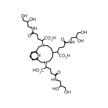 O=C(CCC(C(=O)O)C1CCN(C(CCC(=O)NCC(O)CO)C(=O)O)Cc2cccc(n2)CN(C(CCC(=O)NCC(O)CO)C(=O)O)CC1)NCC(O)CO